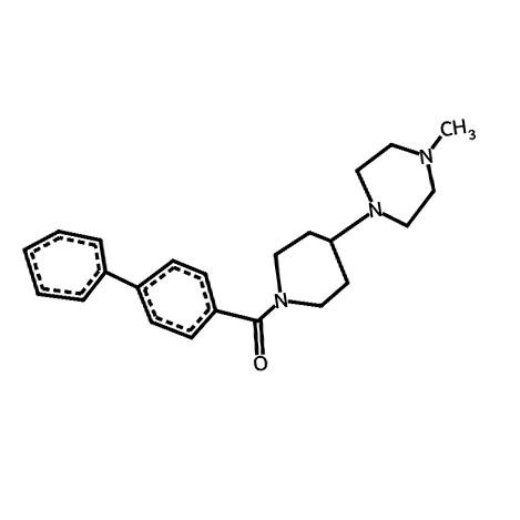 CN1CCN(C2CCN(C(=O)c3ccc(-c4ccccc4)cc3)CC2)CC1